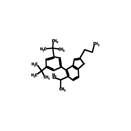 CCCC1=Cc2c(ccc(C(C)C)c2-c2cc(C(C)(C)C)cc(C(C)(C)C)c2)[CH]1